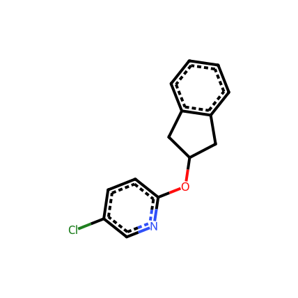 Clc1ccc(OC2Cc3ccccc3C2)nc1